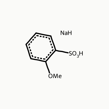 COc1ccccc1S(=O)(=O)O.[NaH]